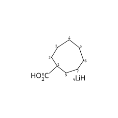 O=C(O)C1CCCCCCC1.[LiH]